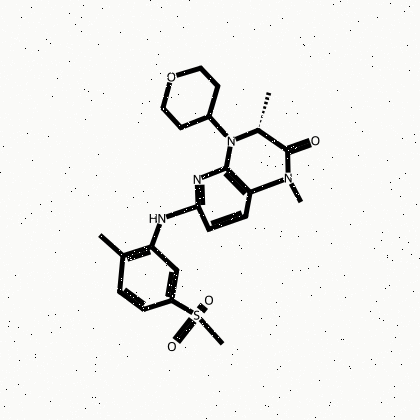 Cc1ccc(S(C)(=O)=O)cc1Nc1ccc2c(n1)N(C1CCOCC1)[C@H](C)C(=O)N2C